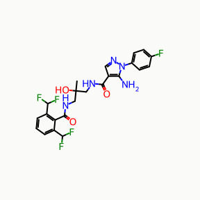 CC(O)(CNC(=O)c1cnn(-c2ccc(F)cc2)c1N)CNC(=O)c1c(C(F)F)cccc1C(F)F